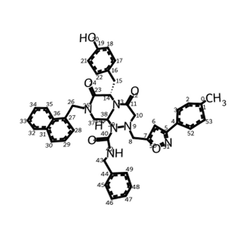 Cc1ccc(-c2cc(CN3CC(=O)N4[C@@H](Cc5ccc(O)cc5)C(=O)N(Cc5cccc6ccccc56)C[C@@H]4N3C(=O)NCc3ccccc3)on2)cc1